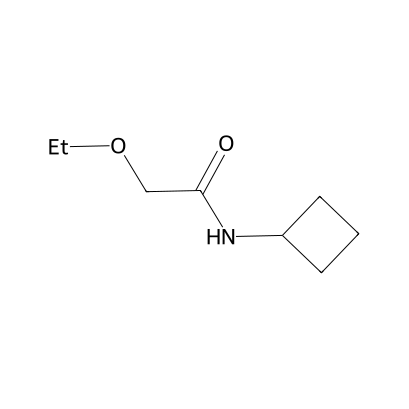 CCOCC(=O)NC1CCC1